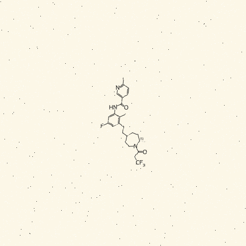 Cc1ccc(C(=O)Nc2cc(F)cc(CCC3CC[C@H](C)N(C(=O)CC(F)(F)F)CC3)c2C)cn1